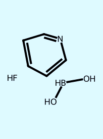 F.OBO.c1ccncc1